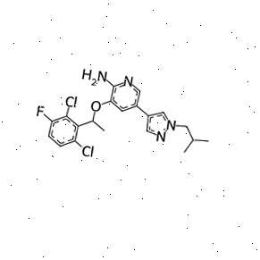 CC(C)Cn1cc(-c2cnc(N)c(OC(C)c3c(Cl)ccc(F)c3Cl)c2)cn1